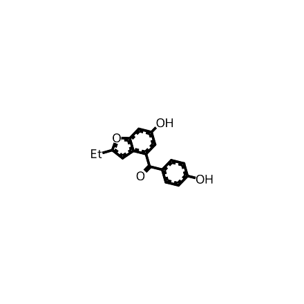 CCc1cc2c(C(=O)c3ccc(O)cc3)cc(O)cc2o1